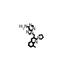 Cc1cccc2cc(Cn3cnc4c(N)ncnc43)c(N3CCCC3)nc12